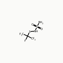 BS(=O)(=O)NSC(F)(C(F)(F)F)C(F)(F)F